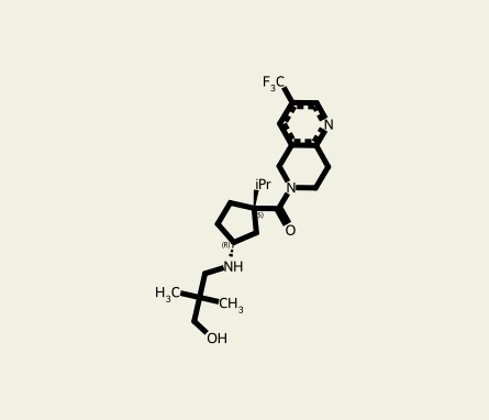 CC(C)[C@]1(C(=O)N2CCc3ncc(C(F)(F)F)cc3C2)CC[C@@H](NCC(C)(C)CO)C1